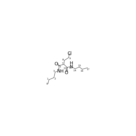 CCCCNC(=O)C(CCCl)C(=O)NCCCC